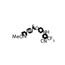 COc1ccc(N2CCN(C(=S)COC3CCC(Nc4ccc(C#N)c(C(F)(F)F)c4)CC3)CC2)cn1